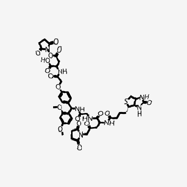 COc1ccc(C(NC(=O)CNC(=O)C(CC(=O)CN2C(=O)CCC2=O)NC(=O)CCC[C@@H]2SCC3NC(=O)NC32)c2ccc(OCC(=O)NC(CC(=O)ON3C(=O)CCC3=O)C(=O)O)cc2)c(OC)c1